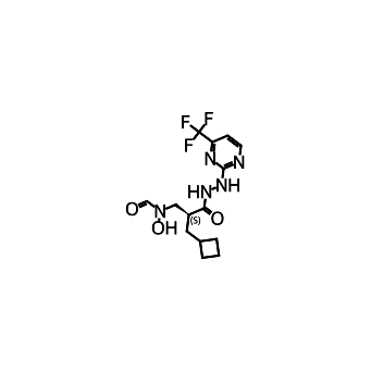 O=CN(O)C[C@H](CC1CCC1)C(=O)NNc1nccc(C(F)(F)F)n1